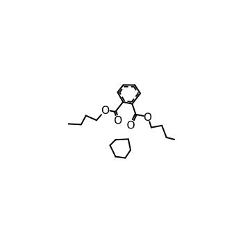 C1CCCCC1.CCCCOC(=O)c1ccccc1C(=O)OCCCC